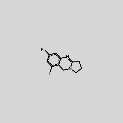 Brc1cc(I)c2c(c1)N=C1CCCN1C2